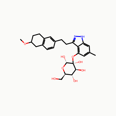 COC1CCc2cc(CCc3n[nH]c4cc(C)cc(O[C@]5(O)[C@@H](O)O[C@H](CO)[C@@H](O)[C@@H]5O)c34)ccc2C1